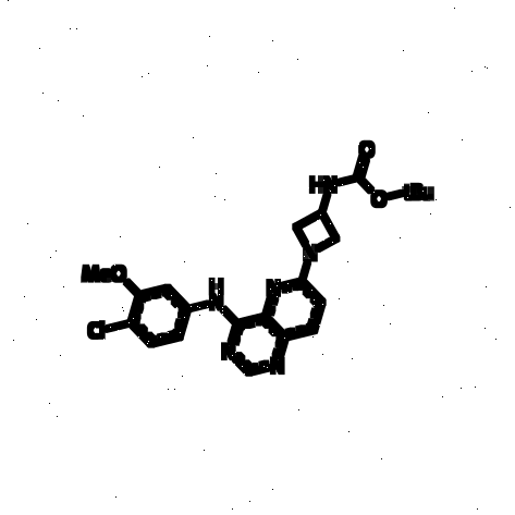 COc1cc(Nc2ncnc3ccc(N4CC(NC(=O)OC(C)(C)C)C4)nc23)ccc1Cl